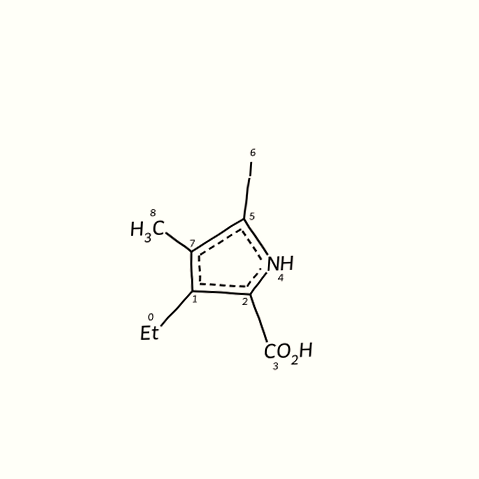 CCc1c(C(=O)O)[nH]c(I)c1C